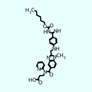 CCCCCCOC(=O)NC(=N)c1ccc(NCc2nc3cc(C(=O)N(CCC(=O)O)c4ccccn4)ccc3n2C)cc1